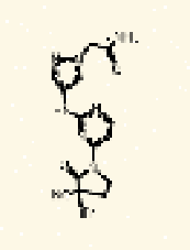 CC(C)C1(C#N)CCN(c2ccnc(Nc3cnn(CC(N)=O)c3)n2)C1=O